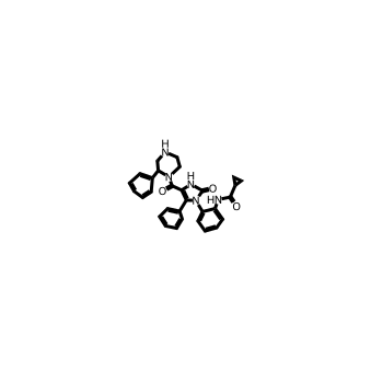 O=C(Nc1ccccc1-n1c(-c2ccccc2)c(C(=O)N2CCNCC2c2ccccc2)[nH]c1=O)C1CC1